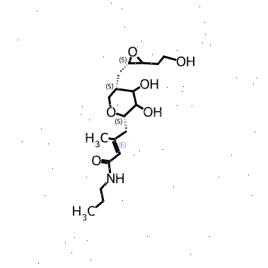 CCCNC(=O)/C=C(\C)C[C@@H]1OC[C@H](C[C@@H]2OC2CCO)C(O)C1O